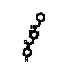 O=C(Cc1cnc(NCC2CCCCC2)nc1)N1CCNCC1